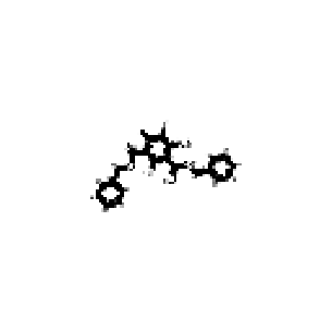 Cc1c(I)c(C#N)c(C(=O)OCc2ccccc2)c(I)c1C(=O)OCc1ccccc1